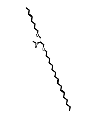 CCC=CCCCCOC[C@H](COCCCCCCCCC=CCC=CCCCCC)N(C)C